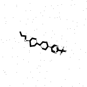 CCCO[C@H]1CC[C@H]([C@H]2CC[C@H](c3cnc(C(F)(F)F)nc3)CC2)CC1